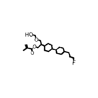 C=C(C)C(=O)OCC(COCO)C1CCC(C2CCC(CCCF)CC2)CC1